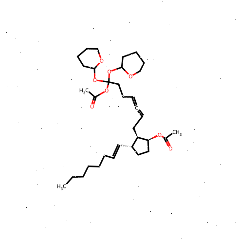 CCCCCCC=C[C@H]1CC[C@H](OC(C)=O)[C@@H]1CC=C=CCCC(OC(C)=O)(OC1CCCCO1)OC1CCCCO1